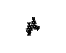 Cc1cc(C2CC2)c(CN2CCC3(C[C@@H]2c2ccc(C#N)cc2)CC(F)(F)C3)c2ccn(C(=O)OC(C)(C)C)c12